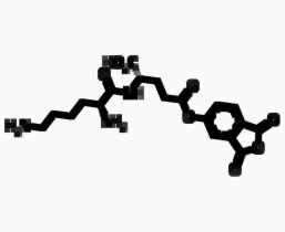 NCCCC[C@H](N)C(=O)N[C@@H](CCC(=O)Oc1ccc2c(c1)C(=O)OC2=O)C(=O)O